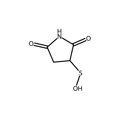 O=C1CC(SO)C(=O)N1